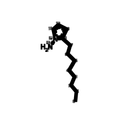 CCCCCCCCc1cccn1N